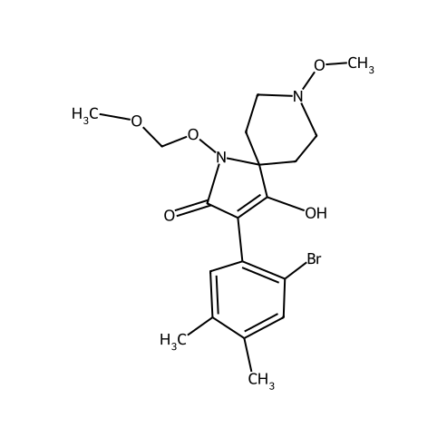 COCON1C(=O)C(c2cc(C)c(C)cc2Br)=C(O)C12CCN(OC)CC2